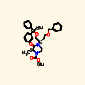 C[C@H]1C(=O)N([C@@H](CCOCc2ccccc2)CO[Si](c2ccccc2)(c2ccccc2)C(C)(C)C)CCN1C(=O)OC(C)(C)C